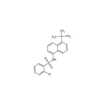 CC(C)(C)c1cccc2c(NS(=O)(=O)c3ccccc3Cl)cccc12